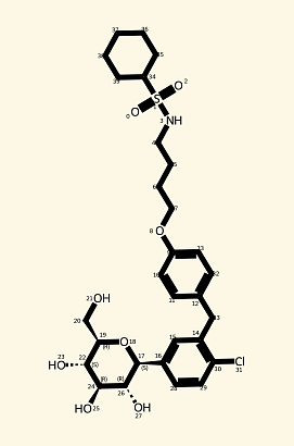 O=S(=O)(NCCCCOc1ccc(Cc2cc([C@@H]3O[C@H](CO)[C@@H](O)[C@H](O)[C@H]3O)ccc2Cl)cc1)C1CCCCC1